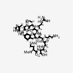 CN[C@@H](CCSC)C(=O)N[C@H](C(=O)N[C@@H](C)C(=O)N[C@@H](CCCCN)C(=O)N[C@@H](Cc1ccc(O)cc1)C(=O)N[C@@H](CCCNC(=N)N)C(=O)N[C@@H](CC(C)C)C(=O)N[C@@H](Cc1c[nH]cn1)C(N)=O)[C@@H](C)O